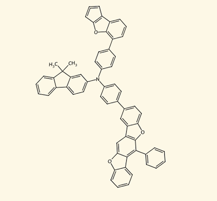 CC1(C)c2ccccc2-c2ccc(N(c3ccc(-c4ccc5oc6c(-c7ccccc7)c7c(cc6c5c4)oc4ccccc47)cc3)c3ccc(-c4cccc5c6c(oc45)C=C=C6)cc3)cc21